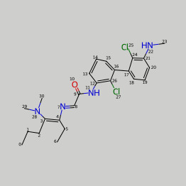 CCC/C(=C(CC)/N=C/C(=O)Nc1cccc(-c2cccc(NC)c2Cl)c1Cl)N(C)C